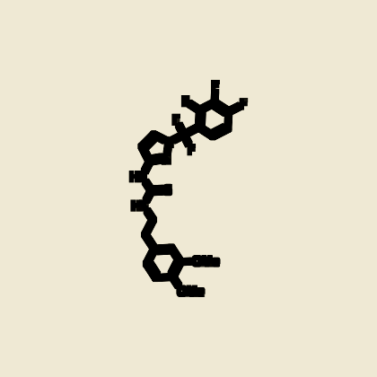 COc1ccc(CCNC(=S)Nc2ccn(C(F)(F)c3ccc(F)c(F)c3F)n2)cc1OC